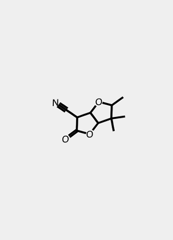 CC1OC2C(C#N)C(=O)OC2C1(C)C